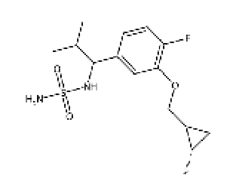 CC(C)C(NS(N)(=O)=O)c1ccc(F)c(OCC2C[C@@H]2C)c1